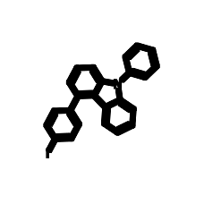 Ic1ccc(-c2cccc3c2c2ccccc2n3-c2ccccc2)cc1